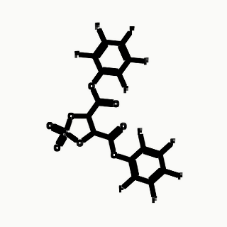 O=C(Oc1c(F)c(F)c(F)c(F)c1F)C1OS(=O)(=O)OC1C(=O)Oc1c(F)c(F)c(F)c(F)c1F